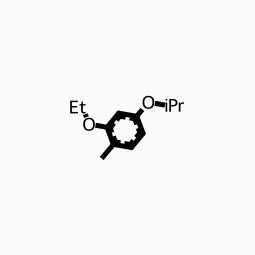 CCOc1cc(OC(C)C)ccc1C